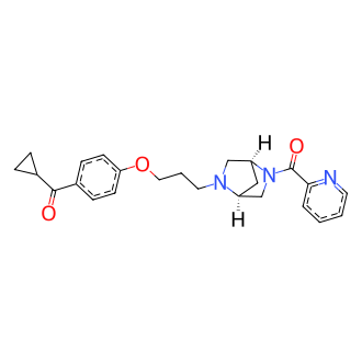 O=C(c1ccc(OCCCN2C[C@@H]3C[C@H]2CN3C(=O)c2ccccn2)cc1)C1CC1